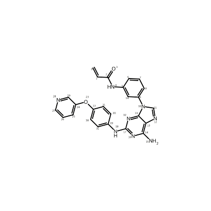 C=CC(=O)Nc1cccc(-n2cnc3c(N)nc(Nc4ccc(Oc5cccnc5)cc4)nc32)c1